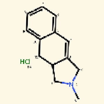 CN1CC2=Cc3ccccc3CC2C1.Cl